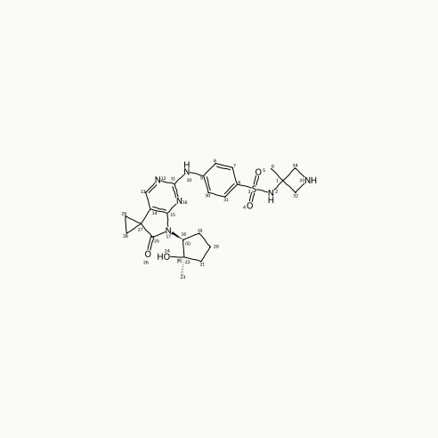 CC1(NS(=O)(=O)c2ccc(Nc3ncc4c(n3)N([C@H]3CCC[C@@]3(C)O)C(=O)C43CC3)cc2)CNC1